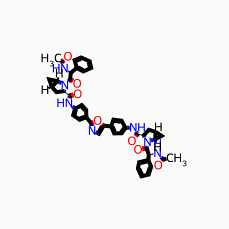 CC(=O)N[C@@H](C(=O)N1[C@H](C(=O)Nc2ccc(-c3cnc(-c4ccc(NC(=O)[C@@H]5C[C@@H]6C[C@@H]6N5C(=O)[C@H](NC(C)=O)c5ccccc5)cc4)o3)cc2)C[C@@H]2C[C@@H]21)c1ccccc1